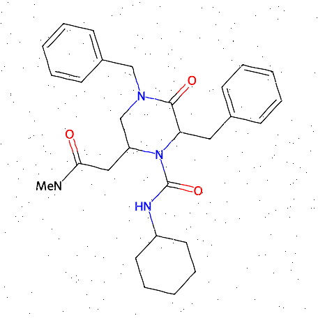 CNC(=O)CC1CN(Cc2ccccc2)C(=O)C(Cc2ccccc2)N1C(=O)NC1CCCCC1